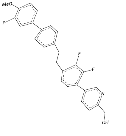 COc1ccc(-c2ccc(CCc3ccc(-c4ccc(CO)nc4)c(F)c3F)cc2)cc1F